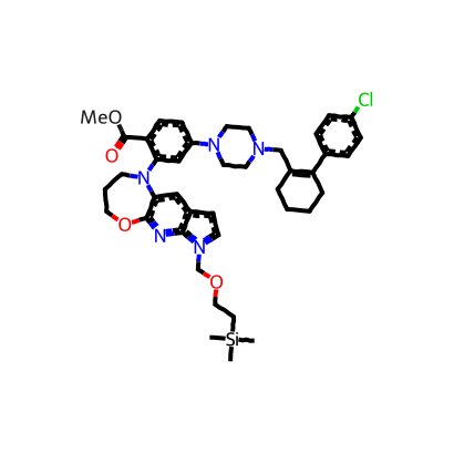 COC(=O)c1ccc(N2CCN(CC3=C(c4ccc(Cl)cc4)CCCC3)CC2)cc1N1CCCOc2nc3c(ccn3COCC[Si](C)(C)C)cc21